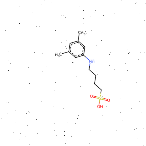 Cc1cc(C)cc(NCCCCS(=O)(=O)O)c1